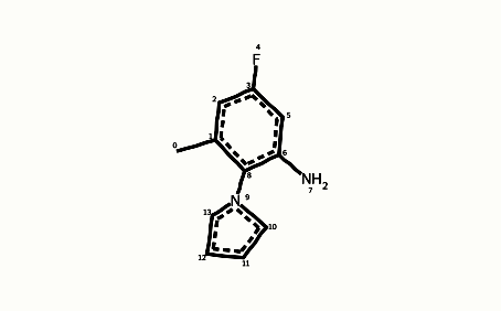 Cc1cc(F)cc(N)c1-n1cccc1